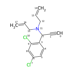 C#CC(c1ccc(Cl)cc1Cl)N(CC=C)CC=C